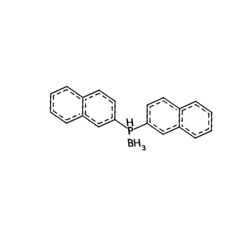 B.c1ccc2cc(Pc3ccc4ccccc4c3)ccc2c1